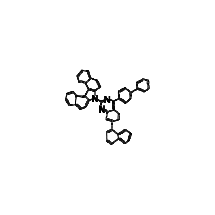 c1ccc(-c2ccc(-c3nc(-n4c5ccc6ccccc6c5c5c6ccccc6ccc54)nc4cc(-c5cccc6ccccc56)ccc34)cc2)cc1